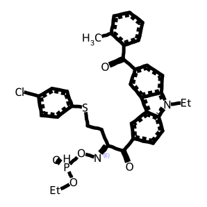 CCO[PH](=O)O/N=C(\CCSc1ccc(Cl)cc1)C(=O)c1ccc2c(c1)c1cc(C(=O)c3ccccc3C)ccc1n2CC